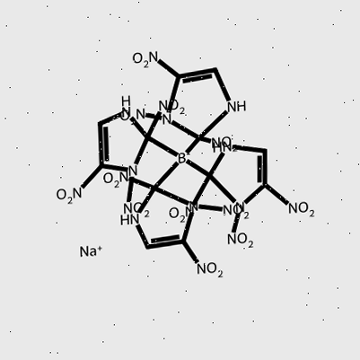 O=[N+]([O-])C1=CNC([N+](=O)[O-])([B-](C2([N+](=O)[O-])NC=C([N+](=O)[O-])N2[N+](=O)[O-])(C2([N+](=O)[O-])NC=C([N+](=O)[O-])N2[N+](=O)[O-])C2([N+](=O)[O-])NC=C([N+](=O)[O-])N2[N+](=O)[O-])N1[N+](=O)[O-].[Na+]